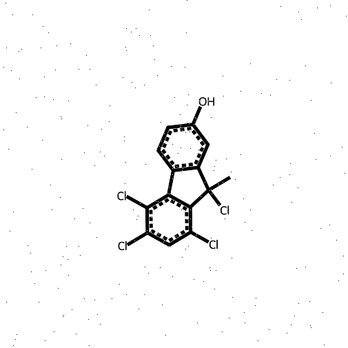 CC1(Cl)c2cc(O)ccc2-c2c(Cl)c(Cl)cc(Cl)c21